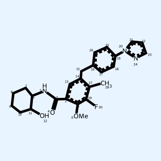 COc1c(C(=O)NC2CCCCC2O)cc(Cc2ccc(-n3cccn3)cc2)c(C)c1F